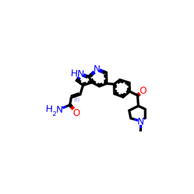 CN1CCC(C(=O)c2ccc(-c3cnc4[nH]cc(/C=C/C(N)=O)c4c3)cc2)CC1